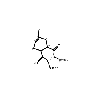 CCCCCCCOC(=O)C1CC=C(C)CC1C(=O)OCCCCCCC